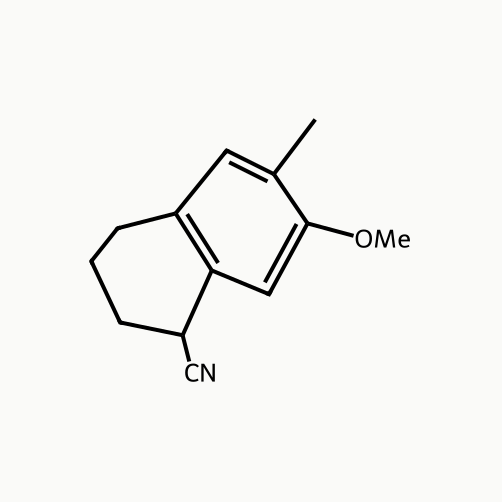 COc1cc2c(cc1C)CCCC2C#N